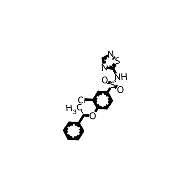 C[C@H](Oc1ccc(S(=O)(=O)Nc2ncns2)cc1Cl)c1ccccc1